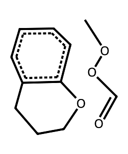 COOC=O.c1ccc2c(c1)CCCO2